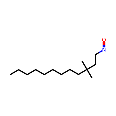 CCCCCCCCCC(C)(C)CCN=O